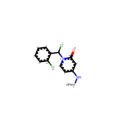 CCCCCNc1ccn(C(Cl)c2ccccc2Cl)c(=O)c1